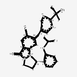 CC(F)Oc1ccccc1[C@@H]1CCn2c(=O)c3cc(F)c(-c4cnc(C(C)(C)O)nc4)cc3n21